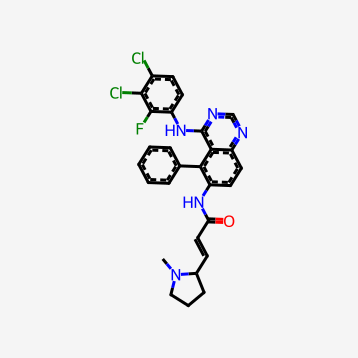 CN1CCCC1/C=C/C(=O)Nc1ccc2ncnc(Nc3ccc(Cl)c(Cl)c3F)c2c1-c1ccccc1